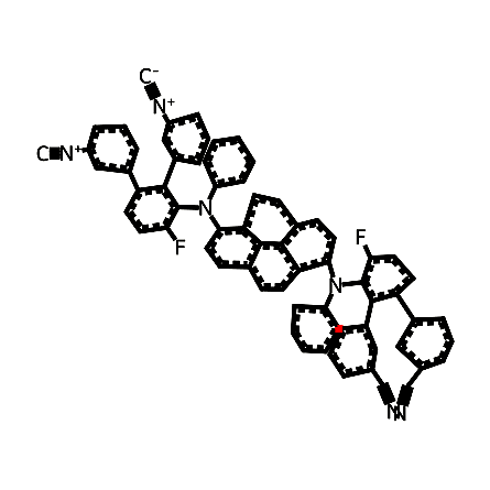 [C-]#[N+]c1cccc(-c2ccc(F)c(N(c3ccccc3)c3ccc4ccc5c(N(c6ccccc6)c6c(F)ccc(-c7cccc(C#N)c7)c6-c6cccc(C#N)c6)ccc6ccc3c4c65)c2-c2cccc([N+]#[C-])c2)c1